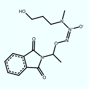 CC(O/N=[N+](/[O-])N(C)CCCO)N1C(=O)c2ccccc2C1=O